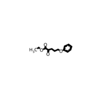 CCOC(=O)C(=O)CCCOc1ccccc1